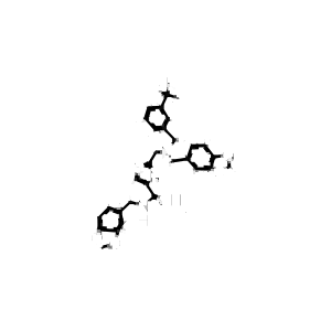 C=C(NCc1ccc2c(c1)OCO2)c1csc(CN(Cc2cccc(C(F)(F)F)c2)Cc2ccc3c(c2)OCO3)n1